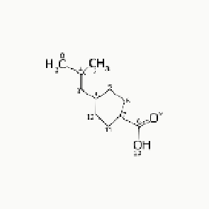 C[C](C)CC1CCC(C(=O)O)CC1